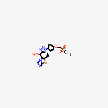 CS(=O)(=O)CCOc1ccc(-n2cc(C(O)c3c(C4CC4)sc4cncn34)nn2)cc1